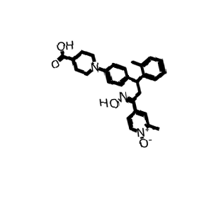 Cc1ccccc1C(CC(=NO)c1cc[n+]([O-])c(C)c1)c1ccc(N2CCC(C(=O)O)CC2)cc1